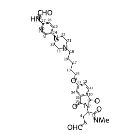 CNC(=O)C(CCC=O)N1C(=O)c2ccc(OCCCCCN3CCN(c4ccc(NC=O)nc4)CC3)cc2C1=O